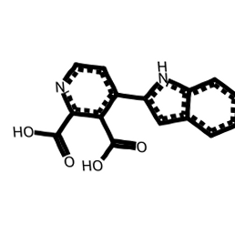 O=C(O)c1nccc(-c2cc3ccccc3[nH]2)c1C(=O)O